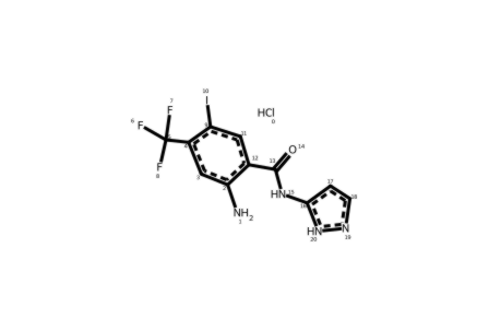 Cl.Nc1cc(C(F)(F)F)c(I)cc1C(=O)Nc1ccn[nH]1